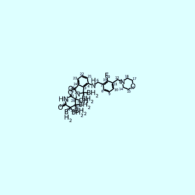 BC1(B)c2c(NCc3cccc(CN4CCOCC4)c3F)cccc2C(=O)N1C1(O)C(=O)NC(=O)C(B)(B)C1(B)B